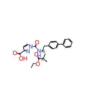 CCOC(=O)[C@H](C)C[C@@H](Cc1ccc(-c2ccccc2)cc1)NC(=O)n1ccc(C(=O)O)n1